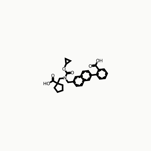 O=C(O)c1ccccc1-c1ccc2cc(CN(CC3(C(=O)O)CCCC3)C(=O)OC3CC3)ccc2c1